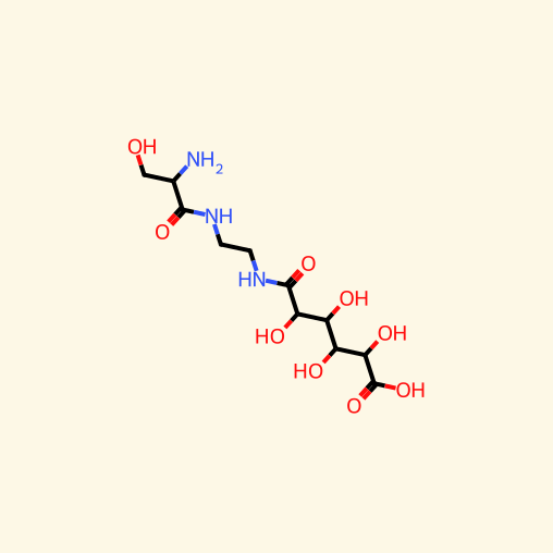 NC(CO)C(=O)NCCNC(=O)C(O)C(O)C(O)C(O)C(=O)O